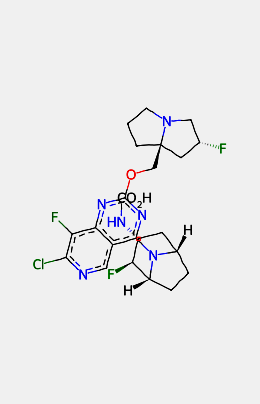 O=C(O)N[C@@H]1C[C@@H]2CC[C@H]([C@H]1F)N2c1nc(OC[C@@]23CCCN2C[C@H](F)C3)nc2c(F)c(Cl)ncc12